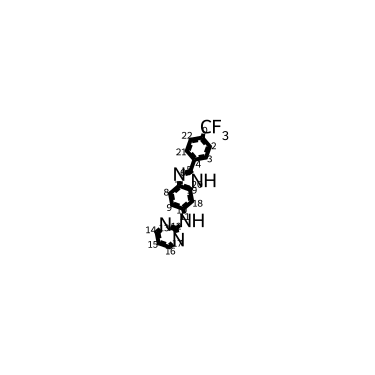 FC(F)(F)c1ccc(-c2nc3ccc(Nc4ncccn4)cc3[nH]2)cc1